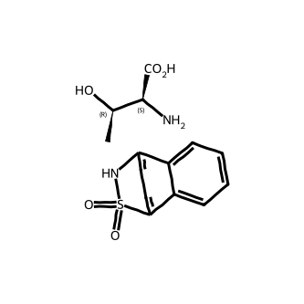 C[C@@H](O)[C@H](N)C(=O)O.O=S1(=O)Nc2ccc1c1ccccc21